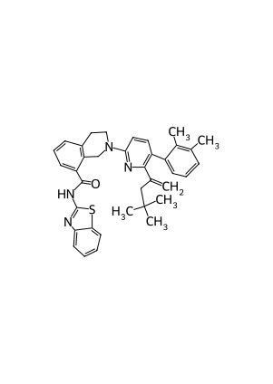 C=C(CC(C)(C)C)c1nc(N2CCc3cccc(C(=O)Nc4nc5ccccc5s4)c3C2)ccc1-c1cccc(C)c1C